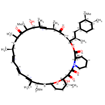 COC1C(=O)C(C)C[C@H](C)/C=C/C=C/C=C(\C)[C@@H](OC)CC2CC[C@@H](C)[C@@](O)(O2)C(=O)C(=O)N2CCCC[C@H]2C(=O)O[C@H]([C@H](C)C[C@@H]2CC[C@@H](C)[C@H](OC)C2)CC(=O)[C@H](C)/C=C(\C)[C@H]1O